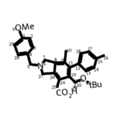 COc1ccc(CN2Cc3c(C)c(-c4ccc(C)cc4)c([C@H](OC(C)(C)C)C(=O)O)c(C)c3C2)cc1